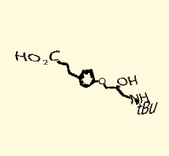 CC(C)(C)NCC(O)COc1ccc(CCCC(=O)O)cc1